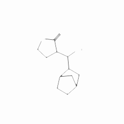 CC(=O)OC(C1CCOC1=O)C1CC2CCC1C2